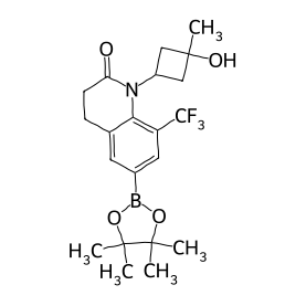 CC1(O)CC(N2C(=O)CCc3cc(B4OC(C)(C)C(C)(C)O4)cc(C(F)(F)F)c32)C1